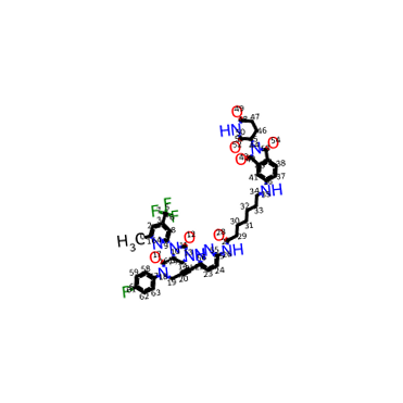 Cc1cc(C(F)(F)F)cc(N2C(=O)NC[C@H]2C(=O)N(CC#Cc2ccc(NC(=O)CCCCCCNc3ccc4c(c3)C(=O)N(C3CCC(=O)NC3=O)C4=O)nn2)c2ccc(F)cc2)n1